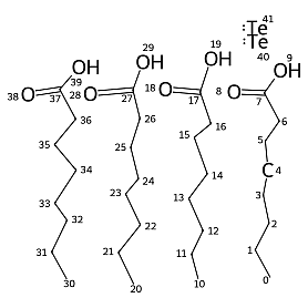 CCCCCCCC(=O)O.CCCCCCCC(=O)O.CCCCCCCC(=O)O.CCCCCCCC(=O)O.[Te].[Te]